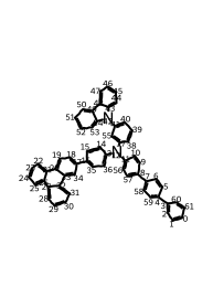 c1ccc(-c2ccc(-c3ccc(N(c4ccc(-c5ccc6c7ccccc7c7ccccc7c6c5)cc4)c4cccc(-n5c6ccccc6c6ccccc65)c4)cc3)cc2)cc1